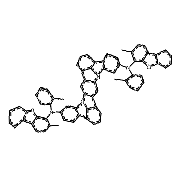 Cc1ccccc1N(c1ccc2c3cccc4c5cc6c(cc5n(c2c1)c34)c1cccc2c3ccc(N(c4ccccc4C)c4c(C)ccc5c4oc4ccccc45)cc3n6c21)c1c(C)ccc2c1oc1ccccc12